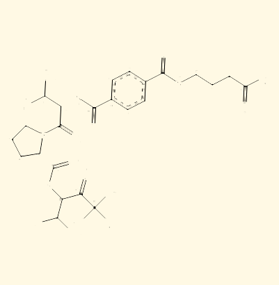 CC(C)C(NC(=O)[C@@H]1CCCN1C(=O)[C@@H](NC(=O)c1ccc(C(=O)NCCCC(=O)O)cc1)C(C)C)C(=O)C(F)(F)F